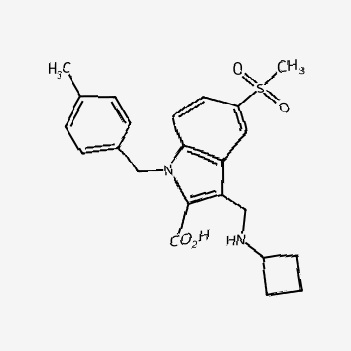 Cc1ccc(Cn2c(C(=O)O)c(CNC3CCC3)c3cc(S(C)(=O)=O)ccc32)cc1